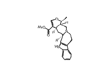 COC(=O)C1=CO[C@@H](C)[C@@H]2CN3CCc4c([nH]c5ccccc45)[C@H]3C[C@@H]12